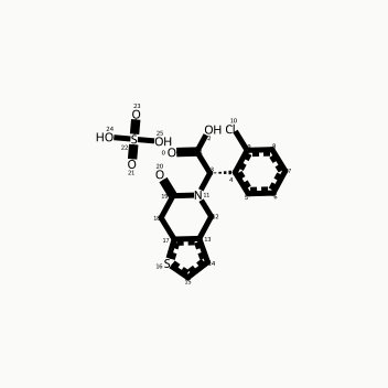 O=C(O)[C@H](c1ccccc1Cl)N1Cc2ccsc2CC1=O.O=S(=O)(O)O